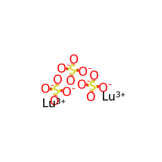 O=S(=O)([O-])[O-].O=S(=O)([O-])[O-].O=S(=O)([O-])[O-].[Lu+3].[Lu+3]